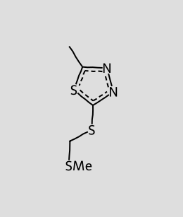 CSCSc1nnc(C)s1